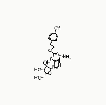 Nc1nc(OCCc2ccc(O)cc2)nc2c1ncn2[C@@H]1O[C@H](CO)C(O)C1O